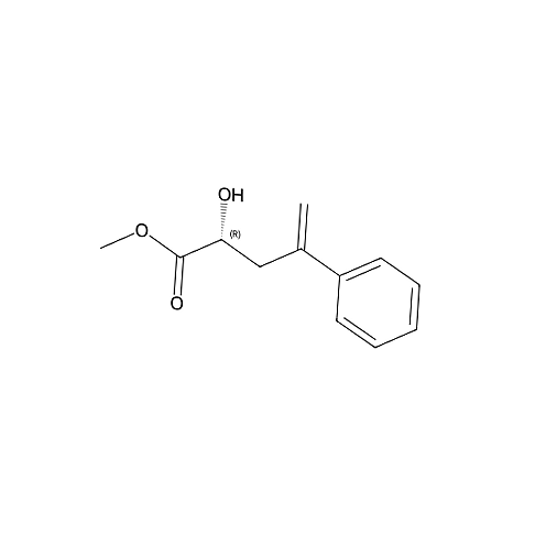 C=C(C[C@@H](O)C(=O)OC)c1ccccc1